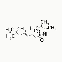 CC(C)[C@@H](C)NS(=O)(=O)CC/C=C/CC(C)(C)C